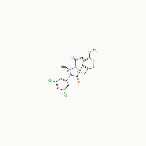 CC(C)(C)[C@@H]1N(c2cc(Cl)cc(Cl)c2)C(=O)[C@@]2(Cc3ccc(OC(F)(F)F)cc32)N1C(=O)C(F)(F)F